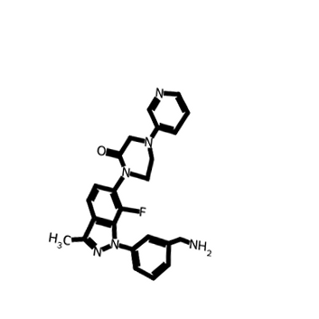 Cc1nn(-c2cccc(CN)c2)c2c(F)c(N3CCN(c4cccnc4)CC3=O)ccc12